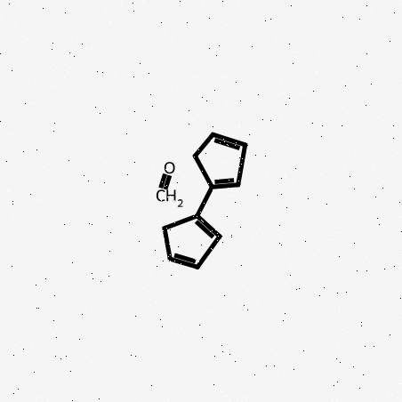 C1=CCC(C2=CC=CC2)=C1.C=O